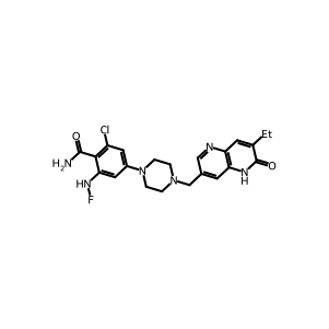 CCc1cc2ncc(CN3CCN(c4cc(Cl)c(C(N)=O)c(NF)c4)CC3)cc2[nH]c1=O